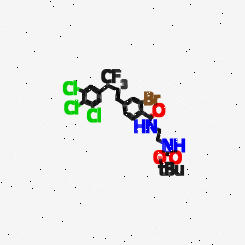 CC(C)(C)OC(=O)NCCNC(=O)c1ccc(C=CC(c2cc(Cl)c(Cl)c(Cl)c2)C(F)(F)F)cc1Br